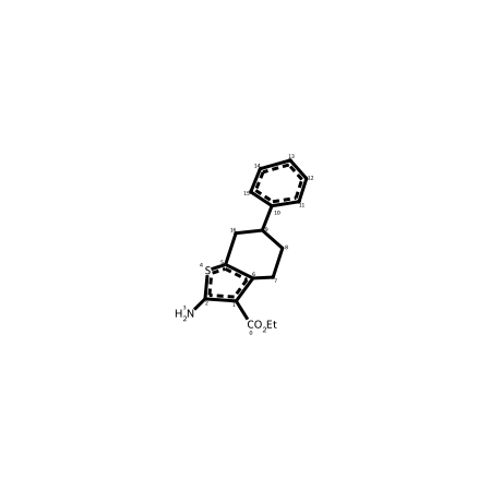 CCOC(=O)c1c(N)sc2c1CCC(c1ccccc1)C2